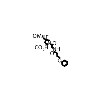 COC[C@@]1(F)C[C@@H](C(=O)O)N(C(=O)CNC(=O)CCCOc2ccccc2)C1